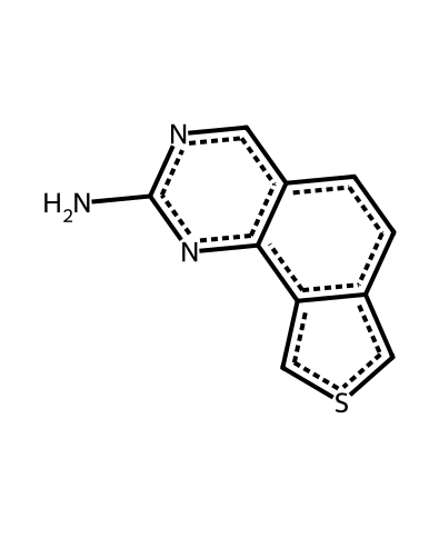 Nc1ncc2ccc3cscc3c2n1